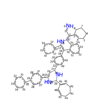 N=C/C(C1=CCCCC1)=C1\NC(c2ccccc2)=C(c2ccc(C3C=C(c4ccc(-c5ccccc5)cc4)NC(C4=CCCCC=C4)N3)cc2)c2ccccc21